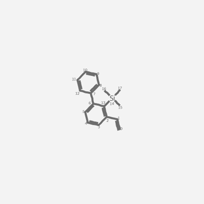 C=Cc1cccc(-c2ccccc2)c1[Si](C)(C)C